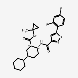 CC1(NC(=O)[C@@H]2CN(C3CCCCC3)CC[C@H]2NC(=O)c2cc(-c3ccc(F)cc3F)on2)CC1